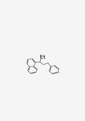 CCC(CCc1cc[c]cc1)c1cccc2ccccc12